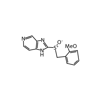 COc1ccccc1C[S+]([O-])c1nc2cnccc2[nH]1